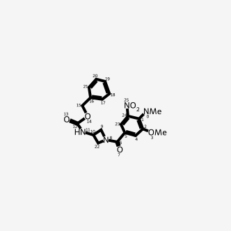 CNc1c(OC)cc(C(=O)N2CC(NC(=O)OCc3ccccc3)C2)cc1[N+](=O)[O-]